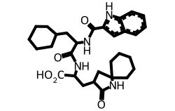 O=C(NC(CC1CCCCC1)C(=O)NC(CC1CC2(CCCCC2)NC1=O)C(=O)O)c1cc2ccccc2[nH]1